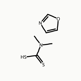 CN(C)C(=S)S.c1cocn1